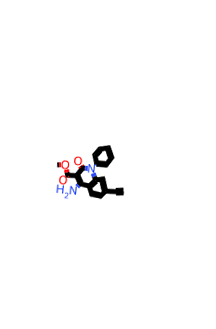 C#Cc1ccc2c(N)c(C(=O)OC)c(=O)n(-c3ccccc3)c2c1